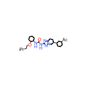 CC(=O)c1cccc(-c2ccc3nc(NC(=O)Nc4ccccc4OCCC(C)C)nn3c2)c1